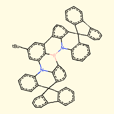 CC(C)(C)c1cc2c3c(c1)N1c4ccccc4C4(c5ccccc5-c5ccccc54)c4cccc(c41)B3N1c3ccccc3C3(c4ccccc4-c4ccccc43)c3cccc-2c31